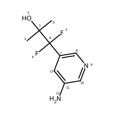 CC(C)(O)C(F)(F)c1cncc(N)c1